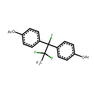 CC(=O)Oc1ccc(C(F)(c2ccc(OC(C)=O)cc2)C(F)(F)C(F)(F)F)cc1